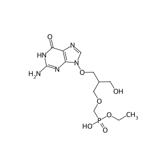 CCOP(=O)(O)COCC(CO)COn1cnc2c(=O)[nH]c(N)nc21